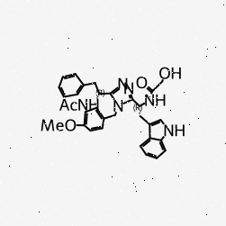 COc1ccc(Cn2c([C@@H](Cc3ccccc3)NC(C)=O)nnc2[C@@H](Cc2c[nH]c3ccccc23)NC(=O)CO)cc1